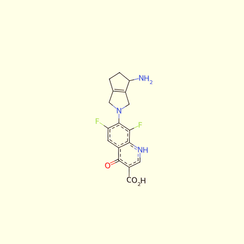 NC1CCC2=C1CN(c1c(F)cc3c(=O)c(C(=O)O)c[nH]c3c1F)C2